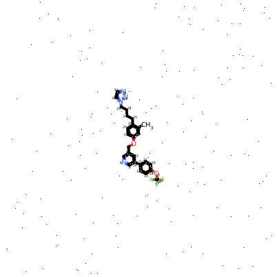 Cc1cc(OCc2cncc(-c3ccc(OC(F)(F)F)cc3)c2)ccc1CCCCn1ccnn1